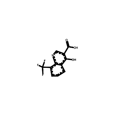 O=C(O)c1cnc2c(C(F)(F)F)cccc2c1O